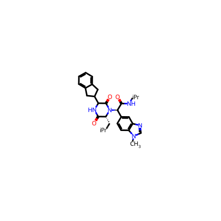 CC(C)C[C@@H]1C(=O)NC(C2Cc3ccccc3C2)C(=O)N1[C@@H](C(=O)NC(C)C)c1ccc2c(c1)ncn2C